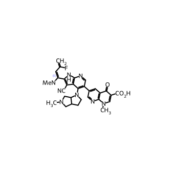 C=C(F)/C=C(/NC)c1[nH]c2ncc(-c3cnc4c(c3)c(=O)c(C(=O)O)cn4C)c(N3CCC4CN(C)CC43)c2c1C#N